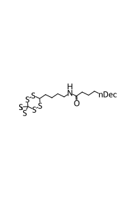 CCCCCCCCCCCCCC(=O)NCCCCC1SSC2(SS1)SS2